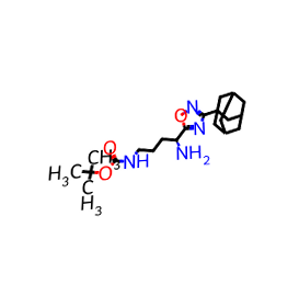 CC(C)(C)OC(=O)NCCC[C@H](N)c1nc(C23CC4CC(CC(C4)C2)C3)no1